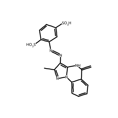 C=C1Nc2c(/N=N/c3cc(S(=O)(=O)O)ccc3S(=O)(=O)O)c(C)nn2-c2ccccc21